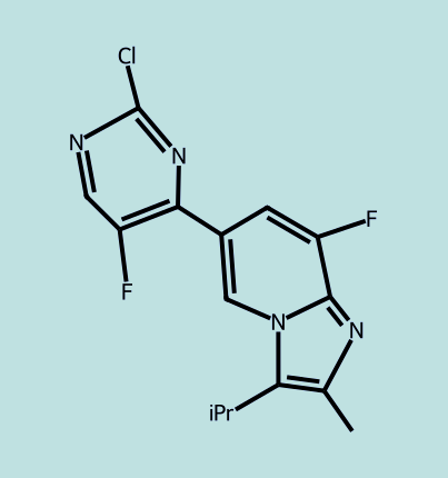 Cc1nc2c(F)cc(-c3nc(Cl)ncc3F)cn2c1C(C)C